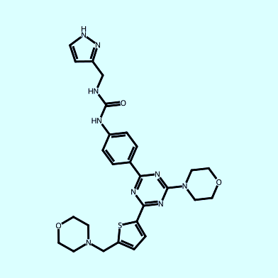 O=C(NCc1cc[nH]n1)Nc1ccc(-c2nc(-c3ccc(CN4CCOCC4)s3)nc(N3CCOCC3)n2)cc1